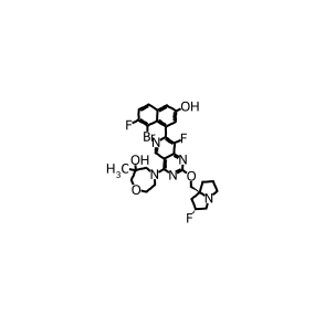 CC1(O)COCCN(c2nc(OC[C@@]34CCCN3C[C@H](F)C4)nc3c(F)c(-c4cc(O)cc5ccc(F)c(Br)c45)ncc23)C1